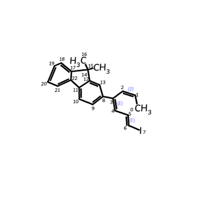 C\C=C/C(=C\C=C\I)c1ccc2c(c1)C(C)(C)c1ccccc1-2